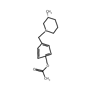 CC(=O)Oc1ccc(CN2CCC[C@@H](C)C2)cc1